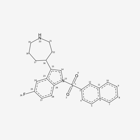 O=S(=O)(c1ccc2ccccc2c1)n1cc(C2CCCNCC2)c2cc(F)ccc21